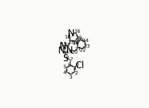 Clc1ccccc1CSc1nnc(-c2cccnc2)n1Cc1ccccc1